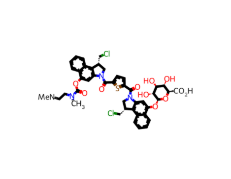 CNCCN(C)C(=O)Oc1cc2c(c3ccccc13)[C@H](CCl)CN2C(=O)c1ccc(C(=O)N2C[C@@H](CCl)c3c2cc(O[C@@H]2O[C@H](C(=O)O)[C@@H](O)[C@H](O)[C@H]2O)c2ccccc32)s1